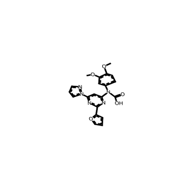 COc1ccc(N(C(=O)O)c2cc(-n3cccn3)nc(-c3ccco3)n2)cc1OC